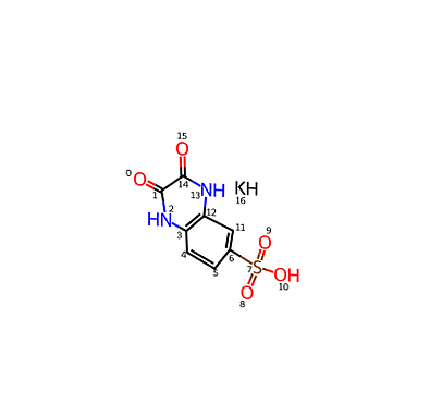 O=c1[nH]c2ccc(S(=O)(=O)O)cc2[nH]c1=O.[KH]